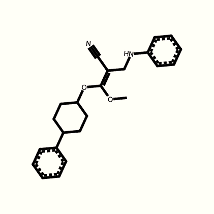 COC(OC1CCC(c2ccccc2)CC1)=C(C#N)CNc1ccccc1